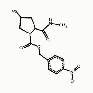 CNC(=O)C1CC(S)CN1C(=O)OCc1ccc([N+](=O)[O-])cc1